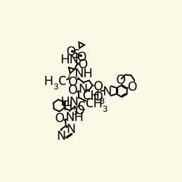 CC[C@H]1C[C@@]1(NC(=O)C1C[C@@H](OC(=O)N2Cc3ccc4c(c3C2)OCCCO4)CN1C(=O)[C@@H](NC(=O)[C@@H](NC(=O)c1cnccn1)C1CCCCC1)C(C)(C)C)C(=O)NS(=O)(=O)C1CC1